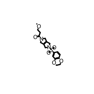 COCCC(=O)N1CC2=C(C1)CN(S(=O)(=O)c1ccc3c(c1)OCCO3)C2